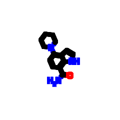 NC(=O)c1ccc(N2CCCCC2)c2cc[nH]c12